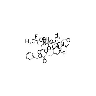 CN(C(=O)OC(C)(C)C)[C@@H](CC(C)(C)F)C(=O)O[C@H](Cc1ccc(C2CCOCC2)c(F)c1)C(=O)OCc1ccccc1